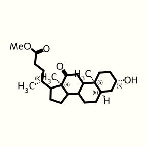 COC(=O)CC[C@@H](C)C1CCC2C3CC[C@@H]4C[C@@H](O)CC[C@]4(C)C3CC(=O)[C@@]21C